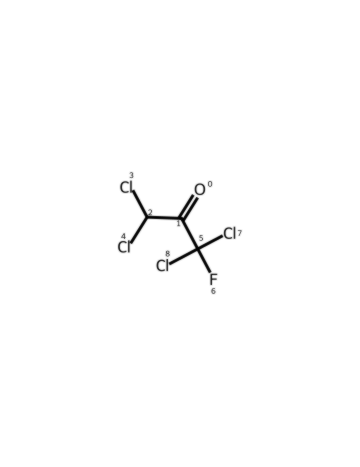 O=C(C(Cl)Cl)C(F)(Cl)Cl